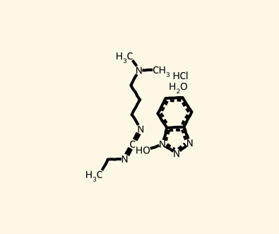 CCN=C=NCCCN(C)C.Cl.O.On1nnc2ccccc21